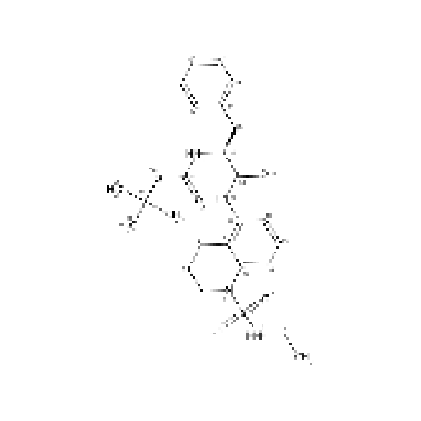 CCNS(=O)(=O)N1CCCc2c(NC(=O)[C@H](Cc3ccccc3)NC(=O)OC(C)(C)C)cccc21